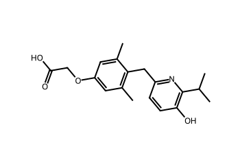 Cc1cc(OCC(=O)O)cc(C)c1Cc1ccc(O)c(C(C)C)n1